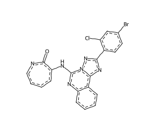 O=c1nccccc1Nc1nc2ccccc2c2nc(-c3ccc(Br)cc3Cl)nn12